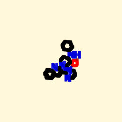 COC1CN(c2nc3ccccc3cc2C2=NC=CCN2)CCC1NC1CCCCC1